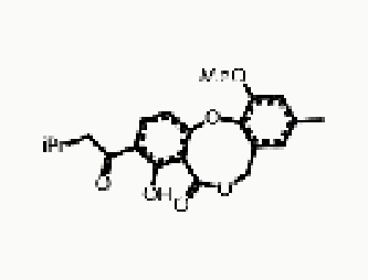 COc1cc(C)cc2c1Oc1ccc(C(=O)CC(C)C)c(O)c1C(=O)OC2